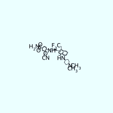 CN(C)C1CCC(Nc2cccc3c(CC(F)(F)F)c(C#CCNc4ccc(S(N)(=O)=O)cc4OCC#N)sc23)CC1